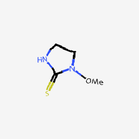 CON1CCNC1=S